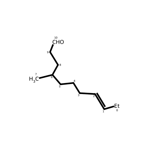 CCC=CCCCC(C)CCC=O